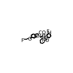 O=C(O)C(Cc1ccc(OCCCF)cc1)NC(=O)[C@@H]1CCCCN1S(=O)(=O)c1cccc(F)c1